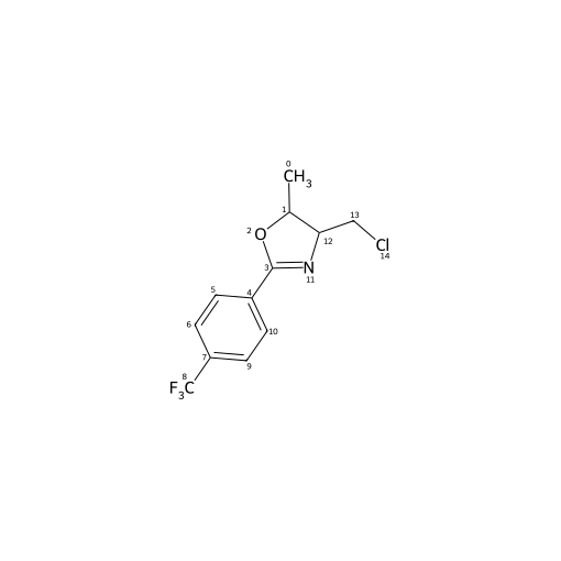 CC1OC(c2ccc(C(F)(F)F)cc2)=NC1CCl